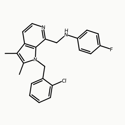 Cc1c(C)n(Cc2ccccc2Cl)c2c(CNc3ccc(F)cc3)nccc12